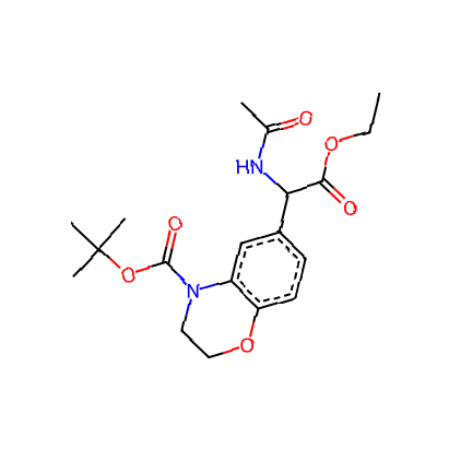 CCOC(=O)C(NC(C)=O)c1ccc2c(c1)N(C(=O)OC(C)(C)C)CCO2